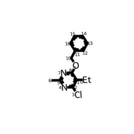 CCc1c(Cl)nc(C)nc1OCc1ccccc1